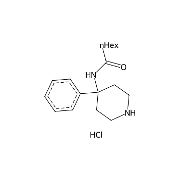 CCCCCCC(=O)NC1(c2ccccc2)CCNCC1.Cl